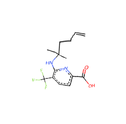 C=CCCC(C)(C)Nc1nc(C(=O)O)ccc1C(F)(F)F